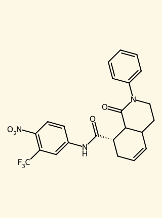 O=C(Nc1ccc([N+](=O)[O-])c(C(F)(F)F)c1)[C@H]1CC=CC2CCN(c3ccccc3)C(=O)C21